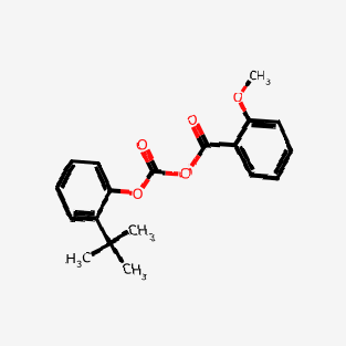 COc1ccccc1C(=O)OC(=O)Oc1ccccc1C(C)(C)C